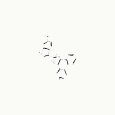 CC(=O)c1ccc2c(-c3nc(-c4ccccc4)c(-c4ccccc4)[nH]3)c[nH]c2c1